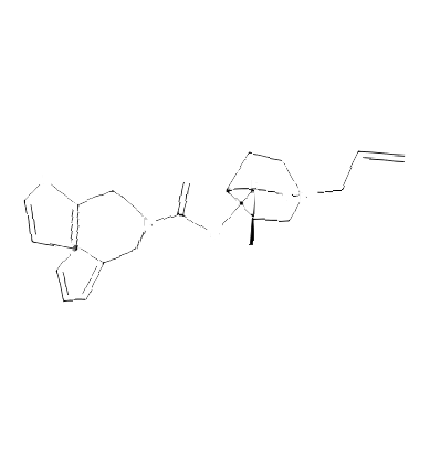 C=CC[N+]12CCC(CC1)[C@@H](OC(=O)N(Cc1cccs1)Cc1cccs1)C2